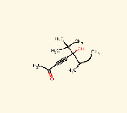 CCC(C)C(O)(C#CC(C)=O)C(C)(C)C